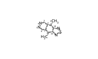 Cc1c2cnncc2c(C)c2nsnc12